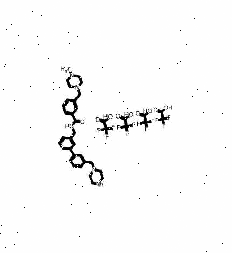 CN1CCN(Cc2cccc(C(=O)NCc3cccc(-c4cccc(CN5CCNCC5)c4)c3)c2)CC1.O=C(O)C(F)(F)F.O=C(O)C(F)(F)F.O=C(O)C(F)(F)F.O=C(O)C(F)(F)F